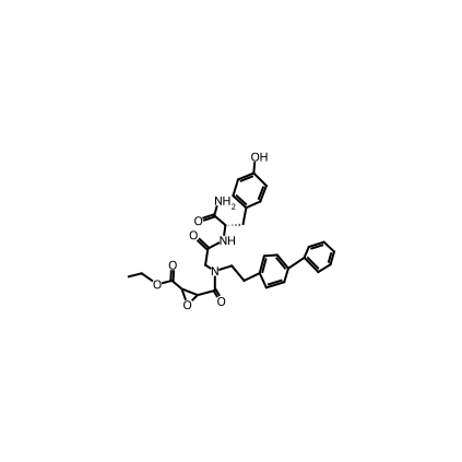 CCOC(=O)C1OC1C(=O)N(CCc1ccc(-c2ccccc2)cc1)CC(=O)N[C@@H](Cc1ccc(O)cc1)C(N)=O